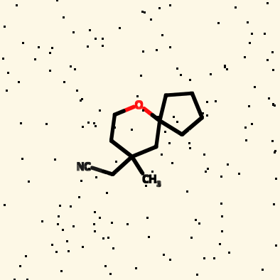 CC1(CC#N)CCOC2(CCCC2)C1